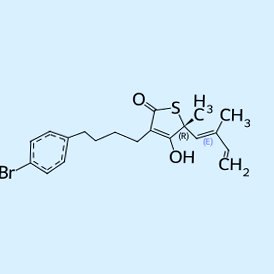 C=C/C(C)=C/[C@@]1(C)SC(=O)C(CCCCc2ccc(Br)cc2)=C1O